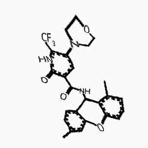 Cc1ccc2c(c1)Oc1cccc(C)c1C2NC(=O)c1cc(N2CCOCC2)c(C(F)(F)F)[nH]c1=O